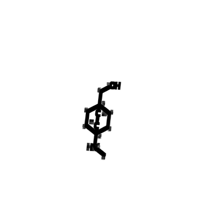 CNC12CCC(CO)(CC1)CC2